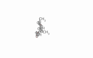 CCCCOC(=O)N1CCN(C(=O)CNC(=O)c2cc(OCC(=O)N3CCCC3c3cc4ccccc4[nH]3)c3ccc(C)cc3n2)CC1